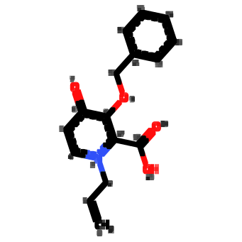 C=CCn1ccc(=O)c(OCc2ccccc2)c1C(=O)O